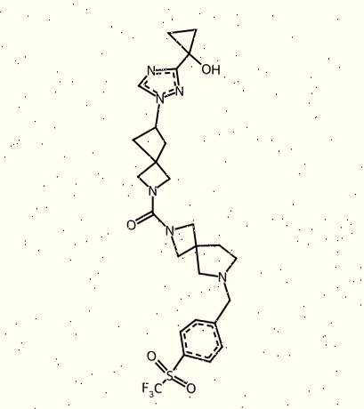 O=C(N1CC2(CC(n3cnc(C4(O)CC4)n3)C2)C1)N1CC2(CCN(Cc3ccc(S(=O)(=O)C(F)(F)F)cc3)C2)C1